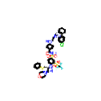 O=C(NS(=O)(=O)c1ccc(N[C@@H](CSc2ccccc2)CN2CCOCC2)c(S(=O)(=O)C(F)(F)F)c1)c1ccc(NCCNCC2=C(c3ccc(Cl)cc3)CCCC2)cc1